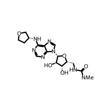 CNC(=O)NC[C@H]1O[C@@H](n2cnc3c(N[C@@H]4CCOC4)ncnc32)[C@H](O)[C@H]1O